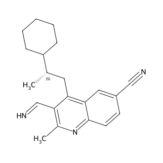 Cc1nc2ccc(C#N)cc2c(C[C@H](C)C2CCCCC2)c1C=N